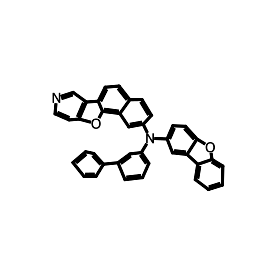 c1ccc(-c2cccc(N(c3ccc4oc5ccccc5c4c3)c3ccc4ccc5c6cnccc6oc5c4c3)c2)cc1